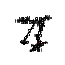 CCCC1O[C@@H]2C[C@H]3[C@@H]4C[C@H](F)C5=CC(=O)C=C[C@]5(C)[C@@]4(F)[C@@H](O)C[C@]3(C)[C@]2(C(=O)COc2ccc(NC(=O)OCc3ccc(NC(=O)[C@H](CCCNC(N)=O)NC(=O)[C@@H](NC(=O)[C@@H](CCCC(=O)NC[C@H](O)[C@@H](O)[C@H](O)[C@H](O)CO)NC(=O)CCOCCOCCOCCOCCN4C(=O)C=CC4=O)C(C)C)cc3)cc2)O1